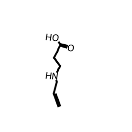 C=CCNCCC(=O)O